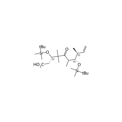 C=C[C@H](C)[C@H](O[Si](C)(C)C(C)(C)C)C(C)C(=O)C(C)(C)[C@H](CC(=O)O)O[Si](C)(C)C(C)(C)C